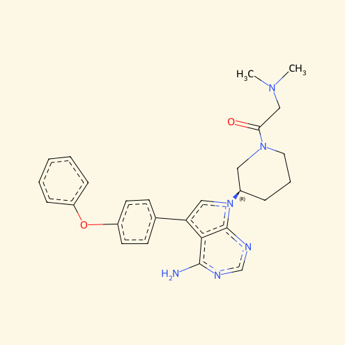 CN(C)CC(=O)N1CCC[C@@H](n2cc(-c3ccc(Oc4ccccc4)cc3)c3c(N)ncnc32)C1